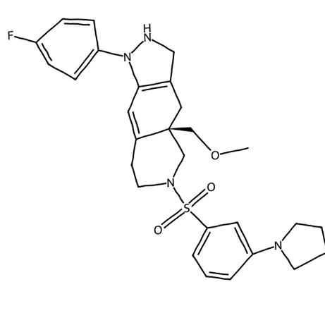 COC[C@]12CC3=C(C=C1CCN(S(=O)(=O)c1cccc(N4CCCC4)c1)C2)N(c1ccc(F)cc1)NC3